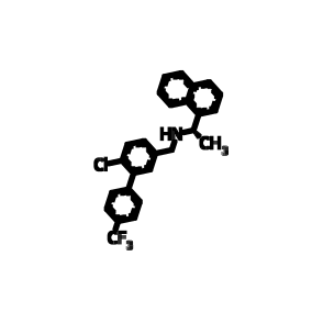 C[C@@H](NCc1ccc(Cl)c(-c2ccc(C(F)(F)F)cc2)c1)c1cccc2ccccc12